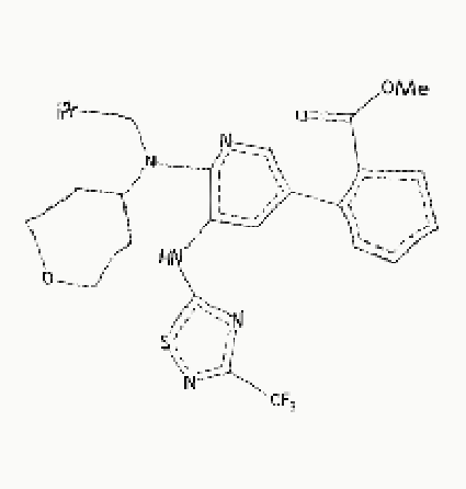 COC(=O)c1ccccc1-c1cnc(N(CC(C)C)C2CCOCC2)c(Nc2nc(C(F)(F)F)ns2)c1